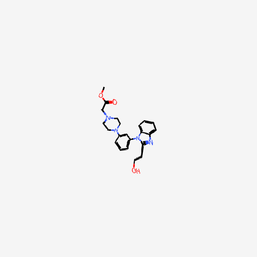 COC(=O)CN1CCN(c2cccc(-n3c(CCO)nc4ccccc43)c2)CC1